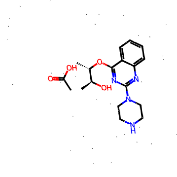 CC(=O)O.C[C@H](O)[C@H](C)Oc1nc(N2CCNCC2)nc2ccccc12